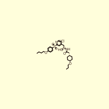 CCCCOc1ccc(S(=O)(=O)c2cc(CN(O)NC(=O)C[C@H]3CC[C@H](OCCC)CC3)ccn2)cc1.Cl